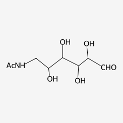 CC(=O)NCC(O)C(O)C(O)C(O)C=O